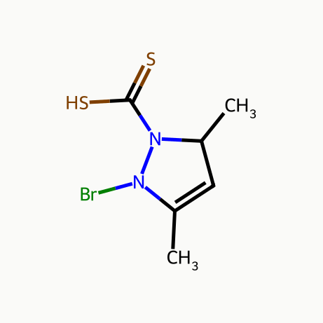 CC1=CC(C)N(C(=S)S)N1Br